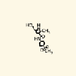 Cc1[nH]c(CCO)cc1C(=O)Nc1ccc(S(C)(=O)=O)cc1